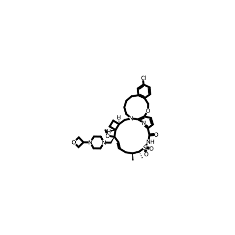 CO[C@@]1(CN2CCN(C3COC3)CC2)/C=C/C[C@H](C)[C@@H](C)S(=O)(=O)NC(=O)c2ccc3c(n2)N(CCCCc2cc(Cl)ccc2CO3)C[C@@H]2CC[C@H]21